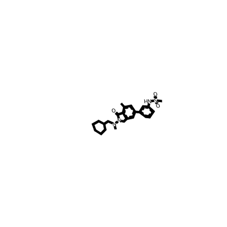 Cc1cc(-c2cccc(NS(C)(=O)=O)c2)cc2c1C(=O)N(N(C)CC1CCCCC1)C2